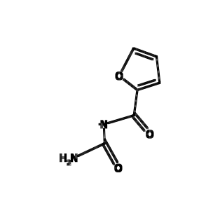 NC(=O)[N]C(=O)c1ccco1